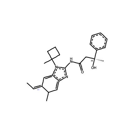 C/C=C1\C=c2c(nc(NC(=O)C[C@](C)(O)c3ccccc3)n2C2(C)CCC2)=CC1C